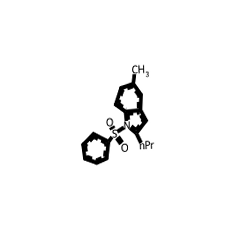 CCCc1cc2cc(C)ccc2n1S(=O)(=O)c1ccccc1